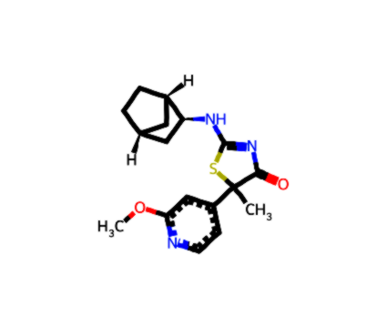 COc1cc(C2(C)SC(N[C@H]3C[C@@H]4CC[C@H]3C4)=NC2=O)ccn1